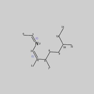 C/C=N\C=C(\C)C(C)CCC(C)CC